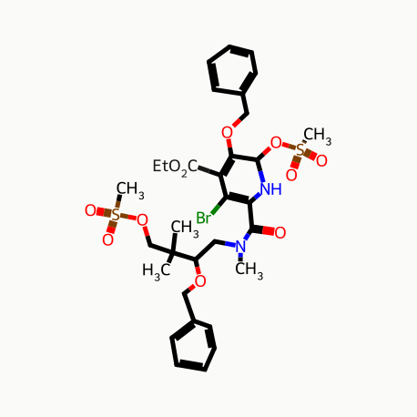 CCOC(=O)C1=C(OCc2ccccc2)C(OS(C)(=O)=O)NC(C(=O)N(C)CC(OCc2ccccc2)C(C)(C)COS(C)(=O)=O)=C1Br